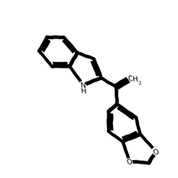 C=C(c1ccc2c(c1)OCO2)c1cc2ccccc2[nH]1